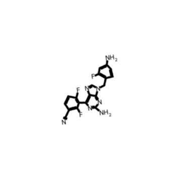 N#Cc1ccc(F)c(-c2nc(N)nc3c2ncn3Cc2ccc(N)cc2F)c1F